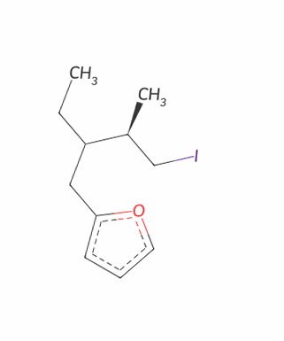 CCC(Cc1ccco1)[C@@H](C)CI